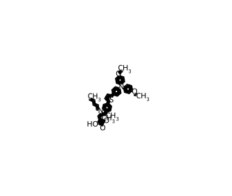 CCCCCCN1/C(=C/c2c(O)c(=O)c2=O)C(C)(C)c2ccc(-c3ccc(-c4ccc(N(c5ccc(OCC)cc5)c5ccc(OCC)cc5)cc4)s3)cc21